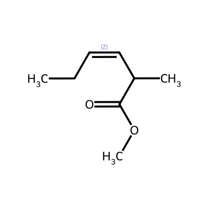 CC/C=C\C(C)C(=O)OC